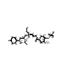 CCCC(C)(CCCC(=O)C1=CC(O)C(OC(C)(C)C)CC1)CC(C[C@@H](I)C1=CCCCC1)OCC